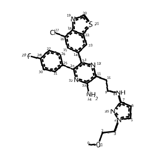 COCCn1ccc(NCCc2nc(-c3cc(Cl)c4ncsc4c3)c(-c3ccc(F)cc3)nc2N)n1